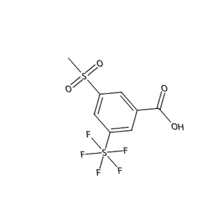 CS(=O)(=O)c1cc(C(=O)O)cc(S(F)(F)(F)(F)F)c1